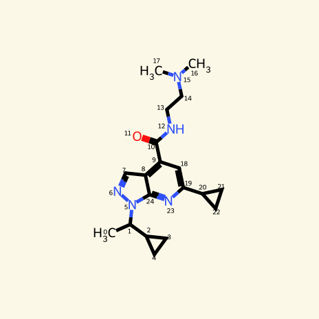 CC(C1CC1)n1ncc2c(C(=O)NCCN(C)C)cc(C3CC3)nc21